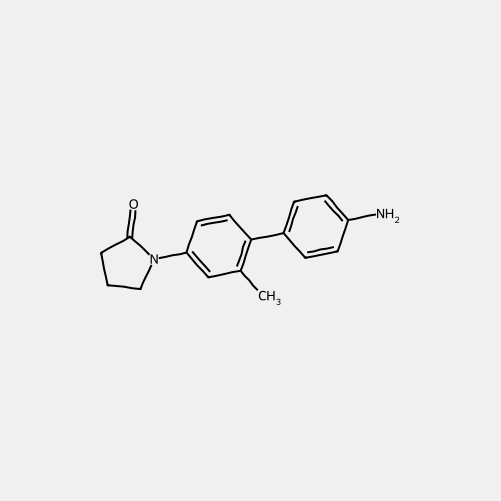 Cc1cc(N2CCCC2=O)ccc1-c1ccc(N)cc1